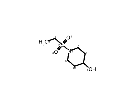 CCS(=O)(=O)N1CCC(O)CC1